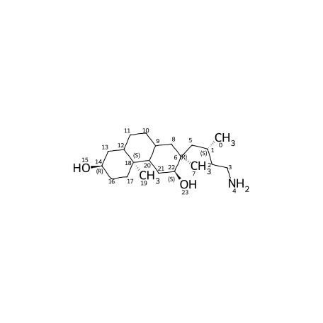 C[C@H](CCN)C[C@]1(C)CC2CCC3C[C@H](O)CC[C@]3(C)C2C[C@@H]1O